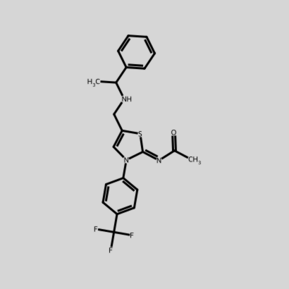 CC(=O)N=c1sc(CNC(C)c2ccccc2)cn1-c1ccc(C(F)(F)F)cc1